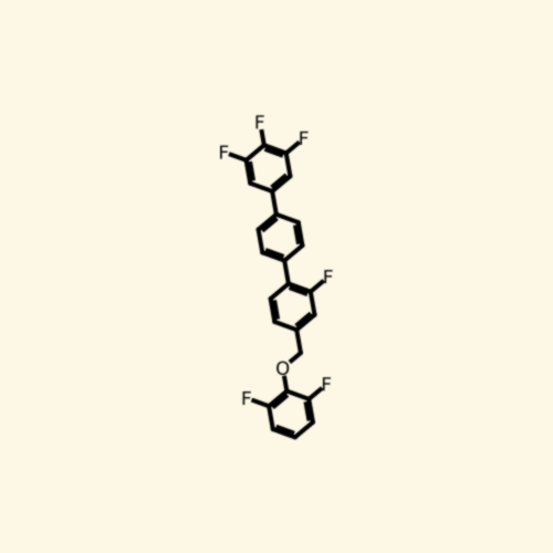 Fc1cc(COc2c(F)cccc2F)ccc1-c1ccc(-c2cc(F)c(F)c(F)c2)cc1